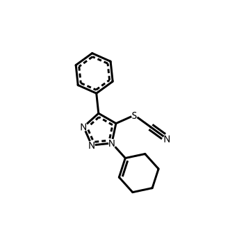 N#CSc1c(-c2ccccc2)nnn1C1=CCCCC1